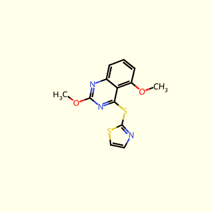 COc1nc(Sc2nccs2)c2c(OC)cccc2n1